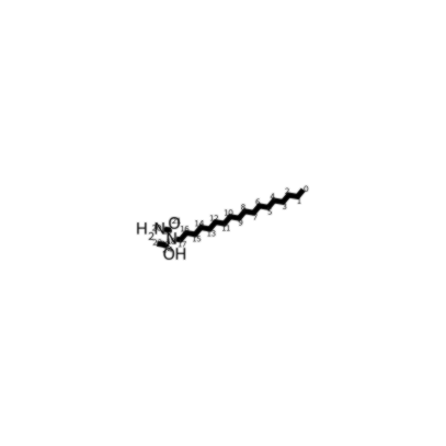 CCCCCCCCCCCCCCCCCCN(C(N)=O)C(C)O